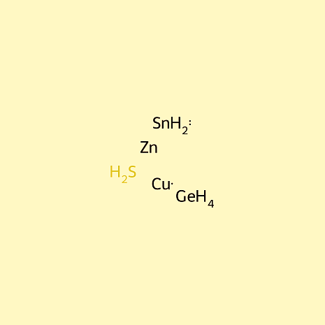 S.[Cu].[GeH4].[SnH2].[Zn]